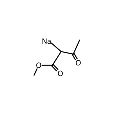 COC(=O)[CH]([Na])C(C)=O